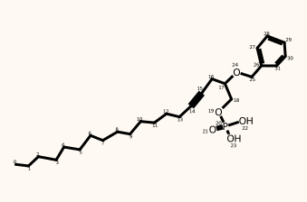 CCCCCCCCCCCCCCC#CCC(COP(=O)(O)O)OCc1ccccc1